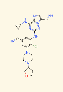 N=Cc1cc(Nc2nc(NC3CC3)c3ncc(C=N)n3n2)c(Cl)c(N2CCN(C3CCOC3)CC2)c1